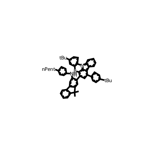 CCCCCc1ccc(Nc2cc3c(cc2-c2cc(-c4ccc(C(C)(C)C)cc4)c4c5ccccc5n5c4c2Bc2cc(C(C)(C)C)ccc2-5)C(C)(C)c2ccccc2-3)cc1